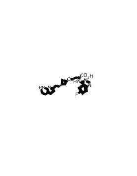 O=C(O)[C@H](CCO[C@H]1C[C@H](CCc2ccc3c(n2)NCCC3)C1)Nc1ncnc2ccc(F)cc12